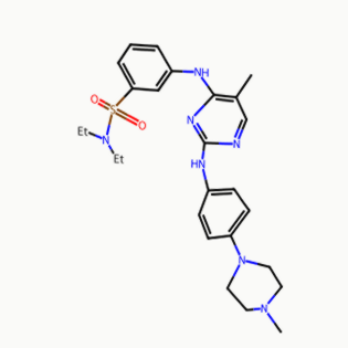 CCN(CC)S(=O)(=O)c1cccc(Nc2nc(Nc3ccc(N4CCN(C)CC4)cc3)ncc2C)c1